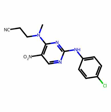 CN(CCC#N)c1nc(Nc2ccc(Cl)cc2)ncc1[N+](=O)[O-]